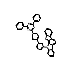 c1ccc(-c2nc(-c3ccccc3)nc(-c3ccc(-c4cccc(-n5c6ccccc6c6ccc7c8ccccc8sc7c65)c4)cc3)n2)cc1